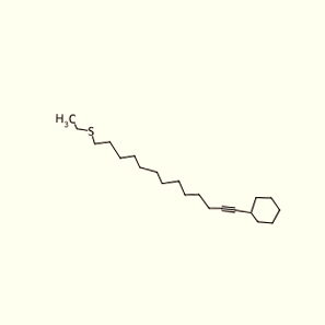 CCSCCCCCCCCCCCC#CC1CCCCC1